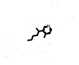 CCCCC(C)c1cnccc1C